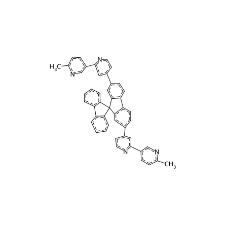 Cc1ccc(-c2cc(-c3ccc4c(c3)C3(c5ccccc5-c5ccccc53)c3cc(-c5ccnc(-c6ccc(C)nc6)c5)ccc3-4)ccn2)cn1